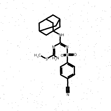 CS/C(N)=N/C(=N\S(=O)(=O)c1ccc(C#N)cc1)NC12CC3CC(CC(C3)C1)C2